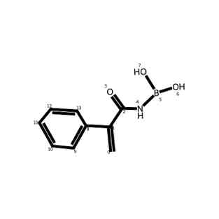 C=C(C(=O)NB(O)O)c1ccccc1